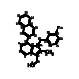 Cc1c(CO)c2ccnc(-c3ccc4ccccc4c3)c2n1Cc1cccc(F)c1